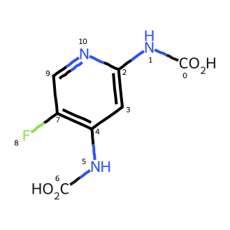 O=C(O)Nc1cc(NC(=O)O)c(F)cn1